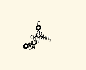 CN1N=C2CCN(C(=O)C(COc3ccc(F)cc3)NC(=O)C(C)(C)N)C[C@@]2(Cc2ccccc2)C1=O